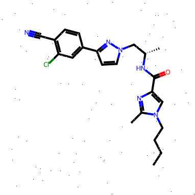 CCCCn1cc(C(=O)N[C@@H](C)Cn2ccc(-c3ccc(C#N)c(Cl)c3)n2)nc1C